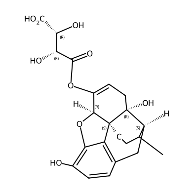 CC1CC[C@]23c4c5ccc(O)c4O[C@H]2C(OC(=O)[C@H](O)[C@@H](O)C(=O)O)=CC[C@@]3(O)[C@H]1C5